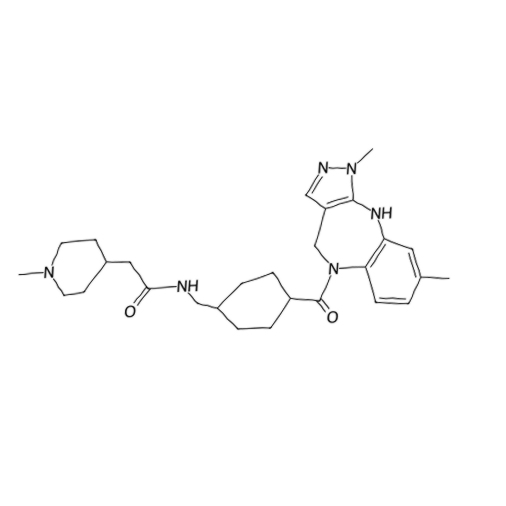 Cc1ccc2c(c1)Nc1c(cnn1C)CN2C(=O)C1CCC(CNC(=O)CC2CCN(C)CC2)CC1